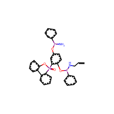 C=CCNP(Oc1ccc(OP(N)c2ccccc2)cc1P1(=O)Oc2ccccc2-c2ccccc21)c1ccccc1